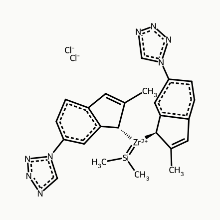 CC1=Cc2ccc(-n3cnnn3)cc2[C@@H]1[Zr+2]([C@H]1C(C)=Cc2ccc(-n3cnnn3)cc21)=[Si](C)C.[Cl-].[Cl-]